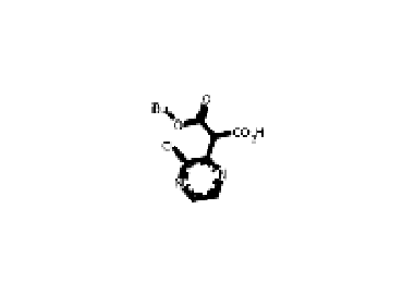 CCC(C)OC(=O)C(C(=O)O)c1nccnc1Cl